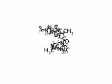 Cc1cc(C(=O)N2Cc3cnn(C)c3Nc3ccccc32)ccc1CN(C)C(=O)N1CCN(C2CC2)CC1